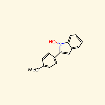 COc1ccc(-c2cc3ccccc3n2O)cc1